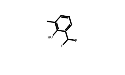 Cc1cccc(C(F)F)c1O